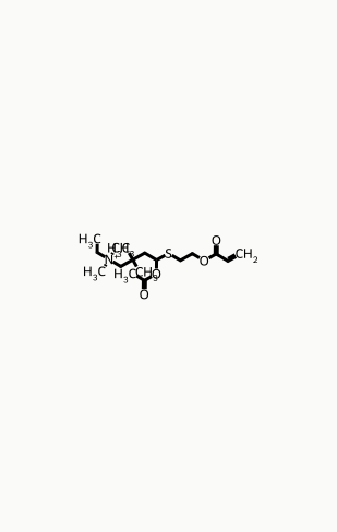 C=CC(=O)OCCSC(CC(C)(C)C[N+](C)(C)CC)OC(C)=O